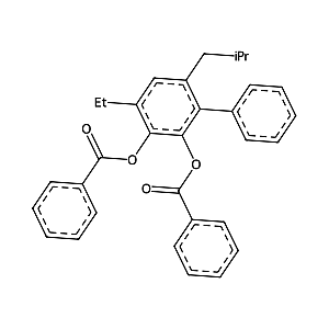 CCc1cc(CC(C)C)c(-c2ccccc2)c(OC(=O)c2ccccc2)c1OC(=O)c1ccccc1